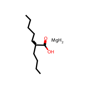 CCCCC=C(CCCC)C(=O)O.[MgH2]